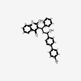 O=c1c(C(CC(O)c2ccc(-c3ccc(Br)cc3)cc2)c2ccccc2)c(O)oc2ccccc12